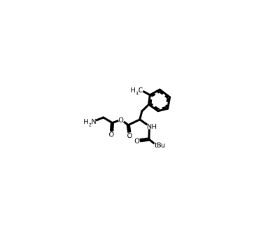 Cc1ccccc1CC(NC(=O)C(C)(C)C)C(=O)OC(=O)CN